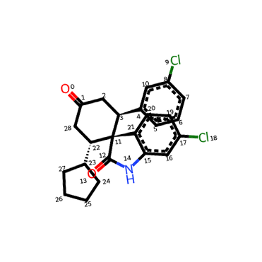 O=C1C[C@@H](c2cccc(Cl)c2)[C@]2(C(=O)Nc3cc(Cl)ccc32)[C@H](C2CCCC2)C1